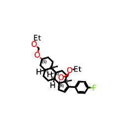 CCOCO[C@H]1CC[C@@]2(C)[C@H](CC[C@@H]3[C@@H]2CC[C@]2(C)C(c4ccc(F)cc4)=CC[C@@]32OCOCC)C1